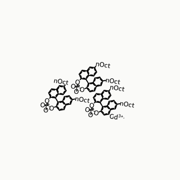 CCCCCCCCc1ccc2c3c(ccc2c1)OP(=O)([O-])Oc1ccc2cc(CCCCCCCC)ccc2c1-3.CCCCCCCCc1ccc2c3c(ccc2c1)OP(=O)([O-])Oc1ccc2cc(CCCCCCCC)ccc2c1-3.CCCCCCCCc1ccc2c3c(ccc2c1)OP(=O)([O-])Oc1ccc2cc(CCCCCCCC)ccc2c1-3.[Gd+3]